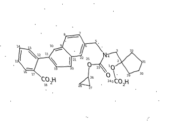 O=C(O)OC1(CN(Cc2ccc3cc(-c4ccccc4C(=O)O)ccc3c2)C(=O)OC2CC2)CCCC1